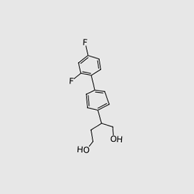 OCCC(CO)c1ccc(-c2ccc(F)cc2F)cc1